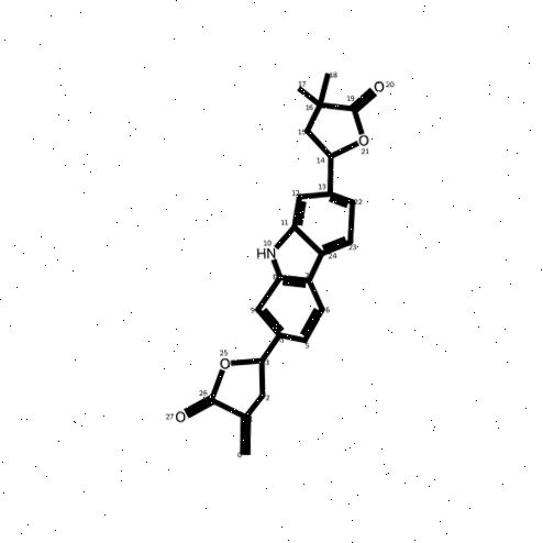 C=C1CC(c2ccc3c(c2)[nH]c2cc(C4CC(C)(C)C(=O)O4)ccc23)OC1=O